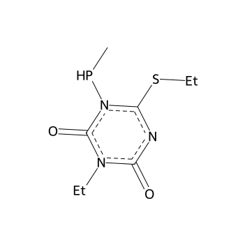 CCSc1nc(=O)n(CC)c(=O)n1PC